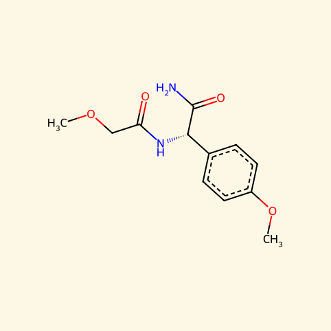 COCC(=O)N[C@H](C(N)=O)c1ccc(OC)cc1